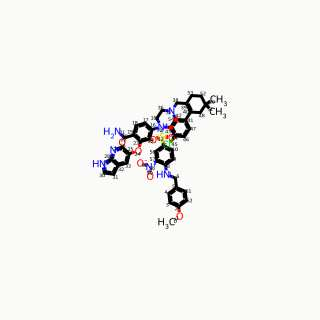 COc1ccc(CNc2ccc(S(=O)(=O)[N+]3(c4ccc(C(N)=O)c(Oc5cnc6[nH]ccc6c5)c4)CCN(CC4=C(c5ccc(Cl)cc5)CC(C)(C)CC4)CC3)cc2[N+](=O)[O-])cc1